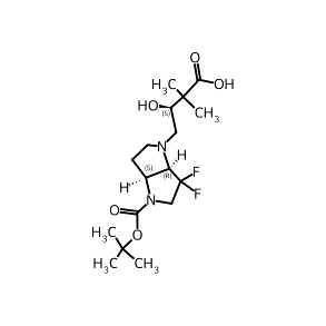 CC(C)(C)OC(=O)N1CC(F)(F)[C@H]2[C@@H]1CCN2C[C@@H](O)C(C)(C)C(=O)O